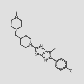 Cc1c(-c2ccc(Cl)cc2)nc2sc(N3CCC(CN4CCN(C)CC4)CC3)nn12